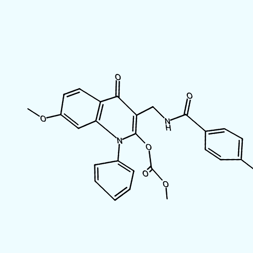 COC(=O)Oc1c(CNC(=O)c2ccc(OC)cc2)c(=O)c2ccc(OC)cc2n1-c1ccccc1